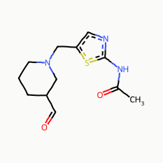 CC(=O)Nc1ncc(CN2CCCC(C=O)C2)s1